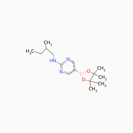 CCC(C)CNc1ncc(B2OC(C)(C)C(C)(C)O2)cn1